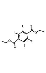 CCOC(=O)c1c(F)c(F)c(C(=O)OCC)c(F)c1F